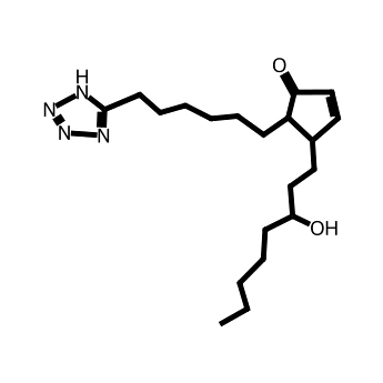 CCCCCC(O)CCC1C=CC(=O)C1CCCCCCc1nnn[nH]1